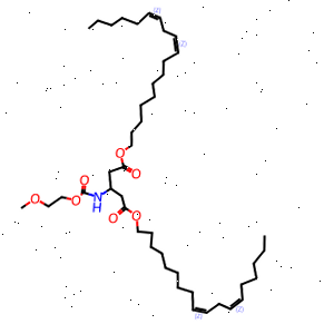 CCCCC/C=C\C/C=C\CCCCCCCCOC(=O)CC(CC(=O)OCCCCCCCC/C=C\C/C=C\CCCCC)NC(=O)OCCOC